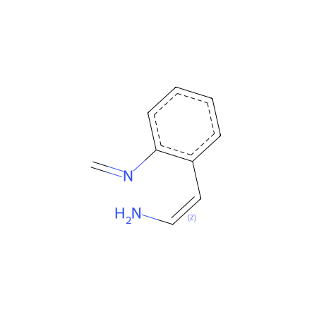 C=Nc1ccccc1/C=C\N